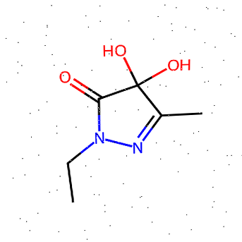 CCN1N=C(C)C(O)(O)C1=O